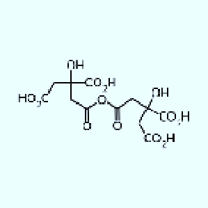 O=C(O)CC(O)(CC(=O)OC(=O)CC(O)(CC(=O)O)C(=O)O)C(=O)O